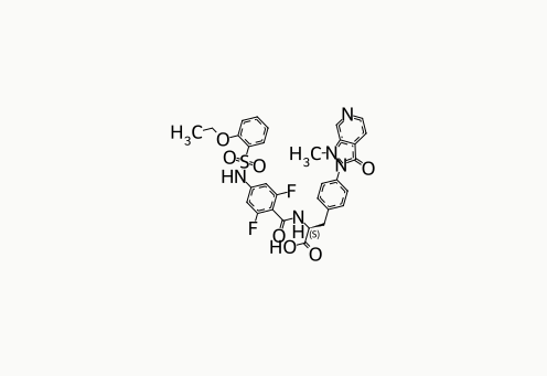 CCOc1ccccc1S(=O)(=O)Nc1cc(F)c(C(=O)N[C@@H](Cc2ccc(-n3c(=O)c4ccncc4n3C)cc2)C(=O)O)c(F)c1